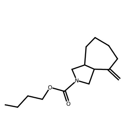 C=C1CCCCC2CN(C(=O)OCCCC)CC12